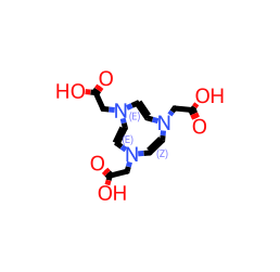 O=C(O)CN1/C=C\N(CC(=O)O)/C=C/N(CC(=O)O)/C=C/1